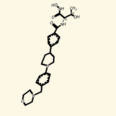 C[C@@H](O)[C@H](NC(=O)c1ccc(C2CCN(c3ccc(CN4CCOCC4)cc3)CC2)cc1)C(=O)NO